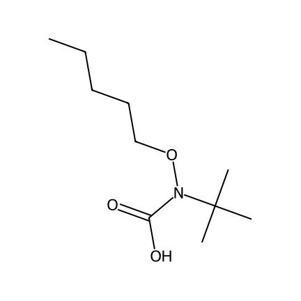 CCCCCON(C(=O)O)C(C)(C)C